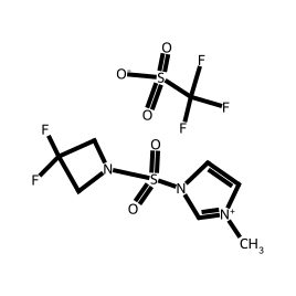 C[n+]1ccn(S(=O)(=O)N2CC(F)(F)C2)c1.O=S(=O)([O-])C(F)(F)F